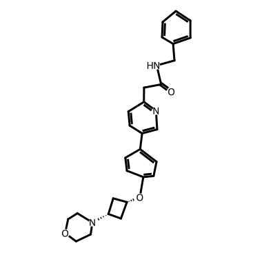 O=C(Cc1ccc(-c2ccc(O[C@H]3C[C@@H](N4CCOCC4)C3)cc2)cn1)NCc1ccccc1